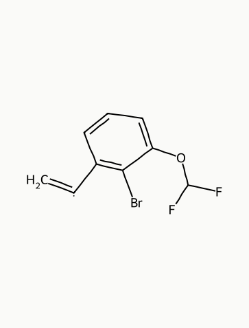 C=[C]c1cccc(OC(F)F)c1Br